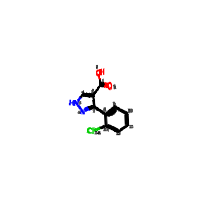 O=C(O)c1c[nH]nc1-c1ccccc1Cl